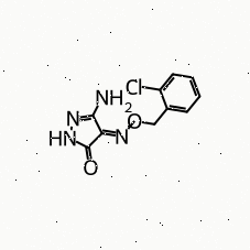 NC1=NNC(=O)C1=NOCc1ccccc1Cl